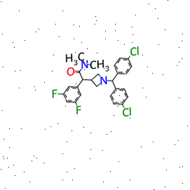 CN(C)C(=O)C(c1cc(F)cc(F)c1)C1CN(C(c2ccc(Cl)cc2)c2ccc(Cl)cc2)C1